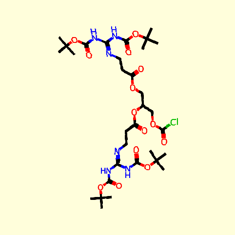 CC(C)(C)OC(=O)NC(=NCCC(=O)OCC(COC(=O)Cl)OC(=O)CCN=C(NC(=O)OC(C)(C)C)NC(=O)OC(C)(C)C)NC(=O)OC(C)(C)C